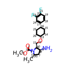 COC(=O)N1[C@H](C)C[C@H](N)[C@@H]1CO[C@H]1CC[C@@H](c2ccc(F)c(F)c2)CC1